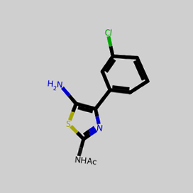 CC(=O)Nc1nc(-c2cccc(Cl)c2)c(N)s1